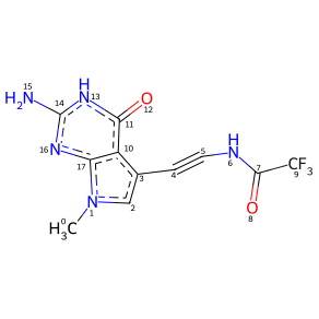 Cn1cc(C#CNC(=O)C(F)(F)F)c2c(=O)[nH]c(N)nc21